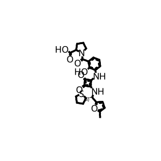 Cc1ccc(C(Nc2c(Nc3cccc(C(=O)N4CCCC4C(=O)O)c3O)c(=O)c2=O)[C@@H]2CCCS2)o1